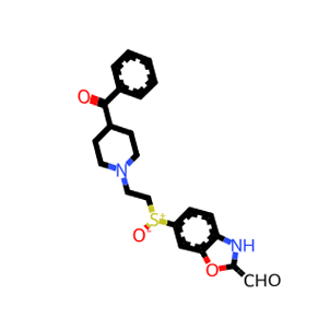 O=CC1Nc2ccc([S+]([O-])CCN3CCC(C(=O)c4ccccc4)CC3)cc2O1